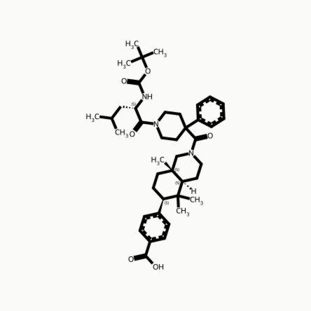 CC(C)C[C@H](NC(=O)OC(C)(C)C)C(=O)N1CCC(C(=O)N2CC[C@H]3C(C)(C)[C@@H](c4ccc(C(=O)O)cc4)CC[C@]3(C)C2)(c2ccccc2)CC1